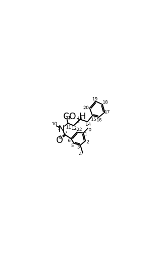 Cc1cc(C)cc(C(=O)N(C)C(CCCc2ccccc2)C(=O)O)c1